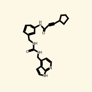 O=C(C#CC1CCCC1)Nc1cccc(CNC(=O)NCc2ccnc3[nH]ccc23)c1